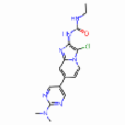 CCNC(=O)Nc1nc2cc(-c3cnc(N(C)C)nc3)ccn2c1Cl